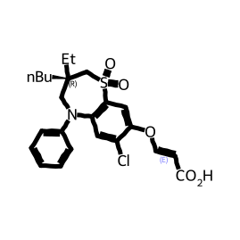 CCCC[C@]1(CC)CN(c2ccccc2)c2cc(Cl)c(O/C=C/C(=O)O)cc2S(=O)(=O)C1